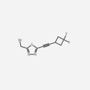 FC1(F)CC(C#Cc2nnc(CBr)s2)C1